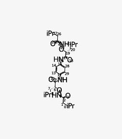 CC(C)CC(=O)NO[C@H](CC(C)C)C(=O)Nc1ccc(NC(=O)[C@@H](CC(C)C)ONC(=O)CC(C)C)cc1